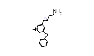 CN1C=C(/C=C/CCN)C=C(Oc2ccccc2)C1